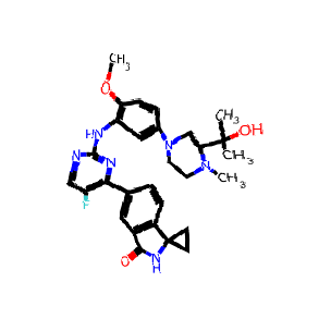 COc1ccc(N2CCN(C)C(C(C)(C)O)C2)cc1Nc1ncc(F)c(-c2ccc3c(c2)C(=O)NC32CC2)n1